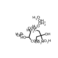 O.O.O.O.O.O=C(O)CC(O)(CC(=O)O)C(=O)O.O=C([O-])CC(O)C(=O)[O-].[Ca+2]